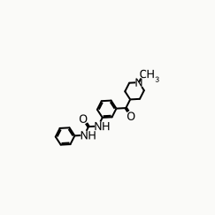 CN1CCC(C(=O)c2cccc(NC(=O)Nc3ccccc3)c2)CC1